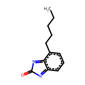 CCCCCc1cccc2c1=NC(=O)N=2